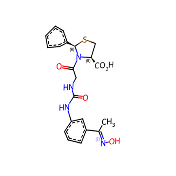 C/C(=N\O)c1cccc(NC(=O)NCC(=O)N2[C@@H](c3ccccc3)SC[C@H]2C(=O)O)c1